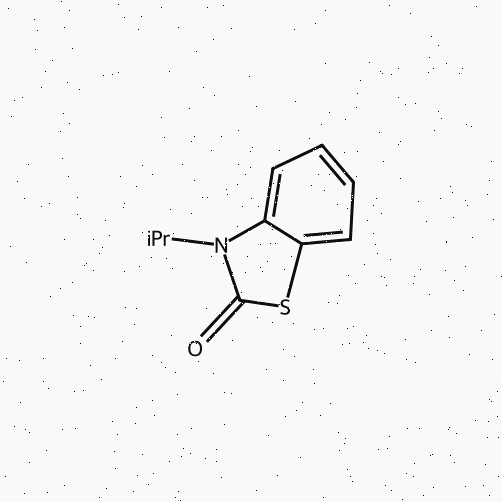 CC(C)n1c(=O)sc2ccccc21